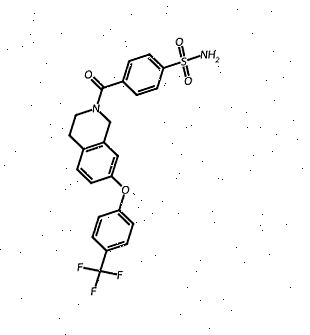 NS(=O)(=O)c1ccc(C(=O)N2CCc3ccc(Oc4ccc(C(F)(F)F)cc4)cc3C2)cc1